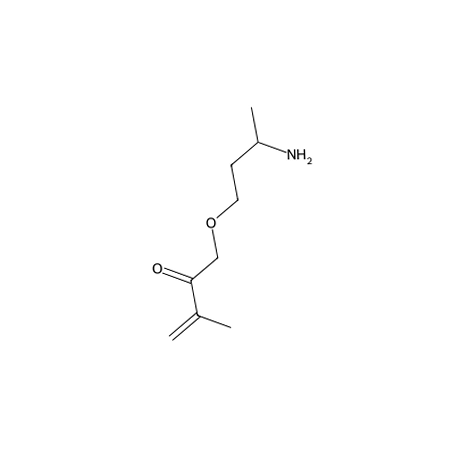 C=C(C)C(=O)COCCC(C)N